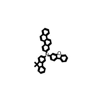 CC1(C)c2ccccc2-c2cc(N(c3ccc4c(ccc5c6ccccc6ccc45)c3)c3ccc4c(c3)oc3ccccc34)ccc21